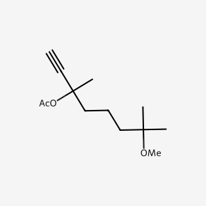 C#CC(C)(CCCC(C)(C)OC)OC(C)=O